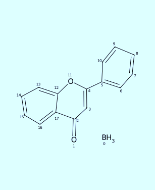 B.O=c1cc(-c2ccccc2)oc2ccccc12